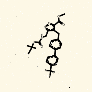 COC(=O)c1onc(CNC(=O)OC(C)(C)C)c1Cc1ccc(-c2ccc(C(F)(F)F)cc2)cc1